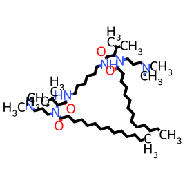 CCCCCCCCCCCCCC(=O)N(CCCN(C)C)C(C(=O)NCCCCCCNC(=O)C(C(C)C)N(CCCN(C)C)C(=O)CCCCCCCCCCCCC)C(C)C